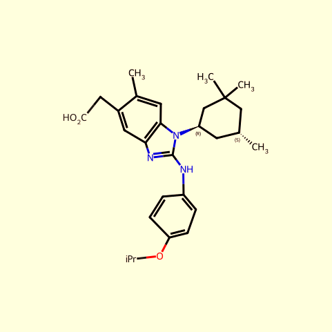 Cc1cc2c(cc1CC(=O)O)nc(Nc1ccc(OC(C)C)cc1)n2[C@@H]1C[C@@H](C)CC(C)(C)C1